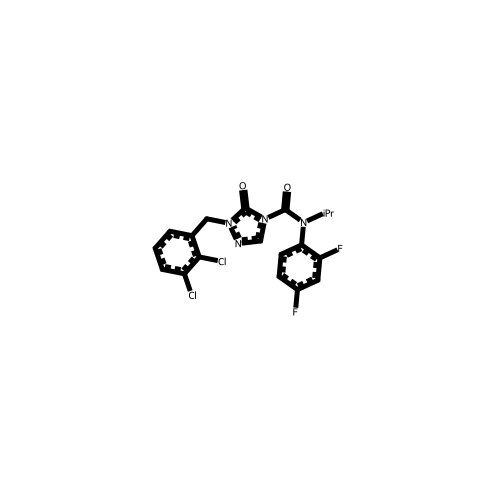 CC(C)N(C(=O)n1cnn(Cc2cccc(Cl)c2Cl)c1=O)c1ccc(F)cc1F